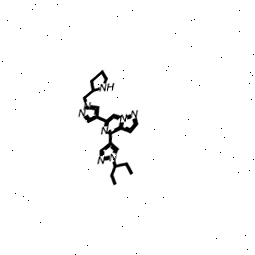 CCC(CC)n1cc(-c2nc(-c3cnn(CC4CCCN4)c3)cn3nccc23)cn1